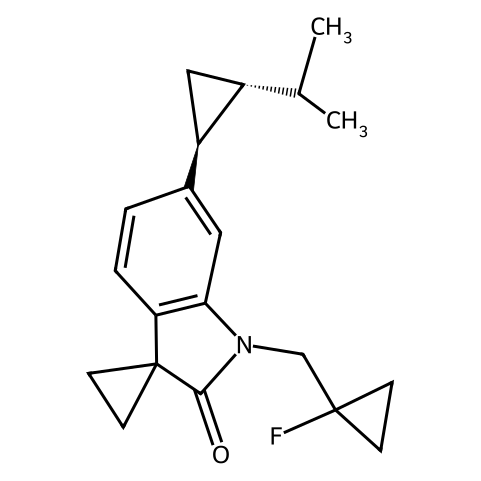 CC(C)[C@H]1C[C@@H]1c1ccc2c(c1)N(CC1(F)CC1)C(=O)C21CC1